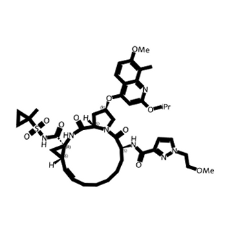 COCCn1ccc(C(=O)N[C@H]2CCCCCC=C[C@@H]3C[C@@]3(C(=O)NS(=O)(=O)C3(C)CC3)NC(=O)[C@@H]3C[C@@H](Oc4cc(OC(C)C)nc5c(C)c(OC)ccc45)CN3C2=O)n1